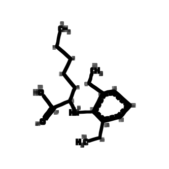 CCCCCC(Nc1c(CC)cccc1CC)C(=O)O